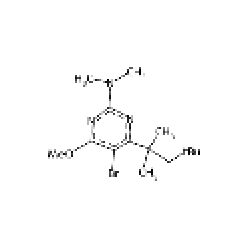 COc1nc(N(C)C)nc(C(C)(C)CC(C)(C)C)c1Br